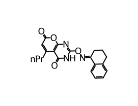 CCCc1cc(=O)oc2nc(O/N=C3\CCCc4ccccc43)[nH]c(=O)c12